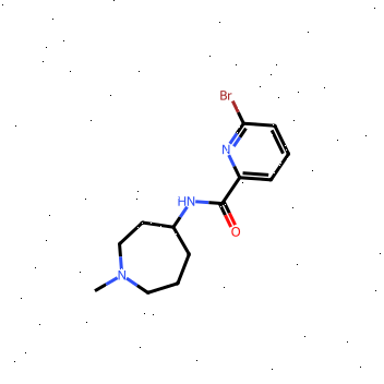 CN1CCCC(NC(=O)c2cccc(Br)n2)CC1